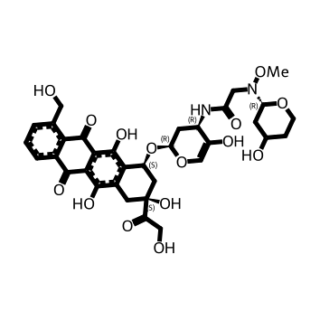 CON(CC(=O)N[C@@H]1C[C@H](O[C@H]2C[C@](O)(C(=O)CO)Cc3c(O)c4c(c(O)c32)C(=O)c2c(CO)cccc2C4=O)OC=C1O)[C@H]1CC(O)CCO1